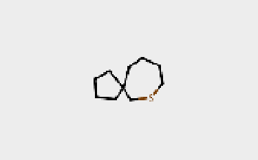 C1CCC2(CCCC2)CSC1